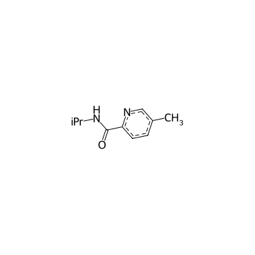 Cc1ccc(C(=O)NC(C)C)nc1